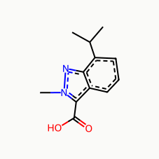 CC(C)c1cccc2c(C(=O)O)n(C)nc12